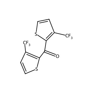 O=C(c1sccc1C(F)(F)F)c1sccc1C(F)(F)F